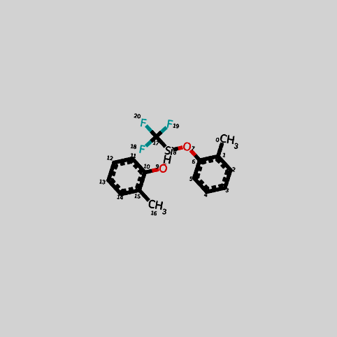 Cc1ccccc1O[SiH](Oc1ccccc1C)C(F)(F)F